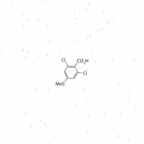 CSc1cc(Cl)c(C(=O)O)c(Cl)c1